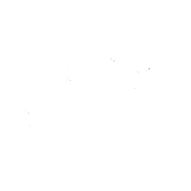 Cc1cc(N(C)C(=O)OC(C)(C)C)ccc1NC(=O)c1cc(NC(=O)[C@@H]2[C@@H](c3ccc(F)c(Cl)c3)C2(Cl)Cl)ccc1Cl